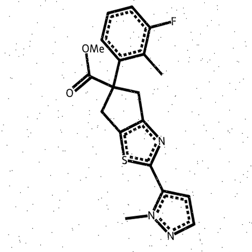 COC(=O)C1(c2cccc(F)c2C)Cc2nc(-c3ccnn3C)sc2C1